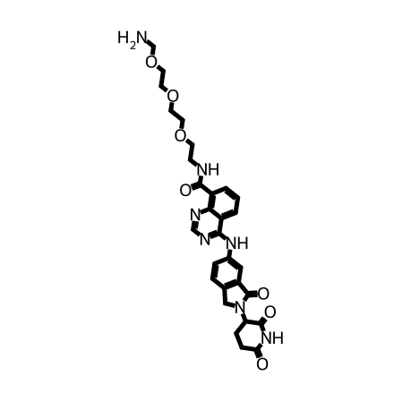 NCOCCOCCOCCNC(=O)c1cccc2c(Nc3ccc4c(c3)C(=O)N(C3CCC(=O)NC3=O)C4)ncnc12